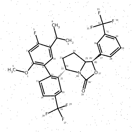 COc1cc(F)c(C(C)C)cc1-c1ccc(C(F)(F)F)cc1[C@@H]1CCC2[C@@H](c3cccc(C(F)(F)F)c3)OC(=O)N21